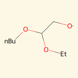 CCCCOC(C[O])OCC